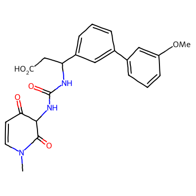 COc1cccc(-c2cccc(C(CC(=O)O)NC(=O)NC3C(=O)C=CN(C)C3=O)c2)c1